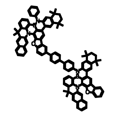 CC1(C)CCC(C)(C)c2cc3c(cc21)-c1cc2c(oc4ccccc42)c2c1B(c1cccc4c1N2c1cc2ccccc2cc1C4(C)C)N3c1ccc(-c2ccc(-c3ccc4oc5c6c7c(cc5c4c3)-c3cc4c(cc3N(c3ccccc3)B7c3cccc5c3N6c3cc6ccccc6cc3C5(C)C)C(C)(C)CCC4(C)C)cc2)cc1